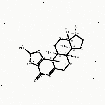 CCCC1OC2=C(O1)[C@@]1(C)C(=CC2=O)CC[C@@H]2[C@@H]1CC[C@]1(C)[C@H](C(C)=O)CC[C@@H]21